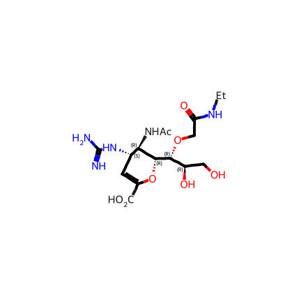 CCNC(=O)CO[C@@H]([C@@H]1OC(C(=O)O)=C[C@H](NC(=N)N)[C@H]1NC(C)=O)[C@H](O)CO